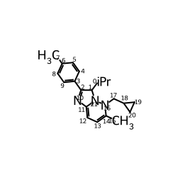 [CH2]C(C)C1C(c2ccc(C)cc2)=NC2=CC=C(C)N(CC3CC3)N21